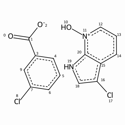 O=C([O-])c1cccc(Cl)c1.O[n+]1cccc2c(Cl)c[nH]c21